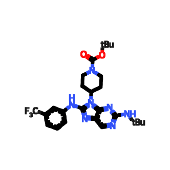 CC(C)(C)Nc1ncc2nc(Nc3cccc(C(F)(F)F)c3)n(C3CCN(C(=O)OC(C)(C)C)CC3)c2n1